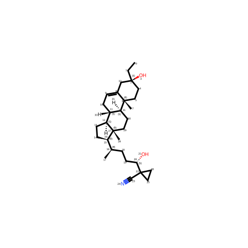 CC[C@]1(O)CC[C@@]2(C)C(=CC[C@H]3[C@@H]4CC[C@H]([C@H](C)CC[C@H](O)C5(C#N)CC5)[C@@]4(C)CC[C@@H]32)C1